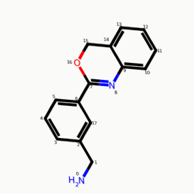 NCc1cccc(C2=Nc3ccccc3CO2)c1